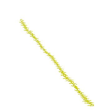 S=S=S=S=S=S=S=S=S=S=S=S=S=S=S=S=S=S=S=S=S=S=S=S=S=S=S=S=S=S=S=S=S=S=S=S=S=S=S=S=S=S=S=S=S=S=S=S=S=S=S=S=S=S=S=S=S=S=S=S=S=S